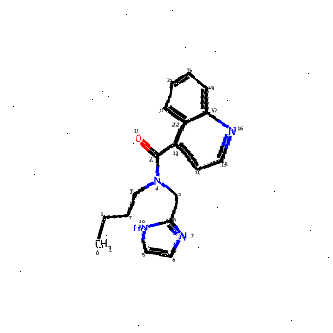 CCCCN(Cc1ncc[nH]1)C(=O)c1ccnc2ccccc12